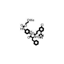 COCCOC(=O)Nc1ccc(NC(=O)C(Cc2ccccc2)NC(=O)C=Cc2cc(Cl)ccc2-n2cnnn2)cc1